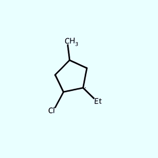 CC[C]1CC(C)CC1Cl